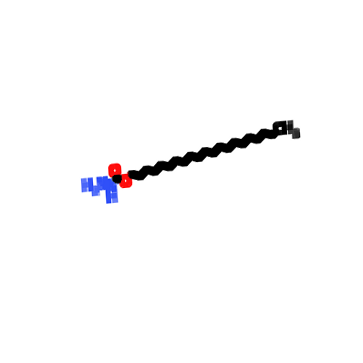 CCCCCCCCCCCCCCCCCCCCCOC(=O)NN